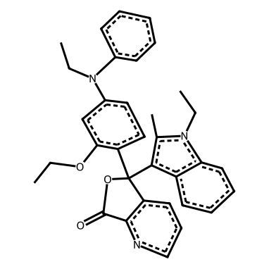 CCOc1cc(N(CC)c2ccccc2)ccc1C1(c2c(C)n(CC)c3ccccc23)OC(=O)c2ncccc21